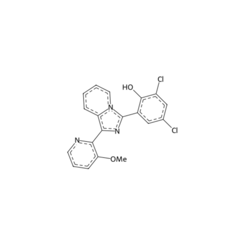 COc1cccnc1-c1nc(-c2cc(Cl)cc(Cl)c2O)n2ccccc12